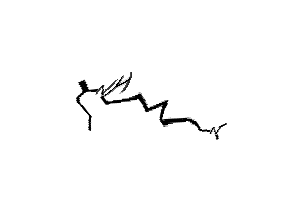 C=C(CCC)NCCCCCCCN(C)C